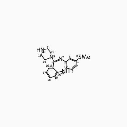 CSc1ccc2c(c1)N=C(N1CCNCC1)c1ccccc1N2